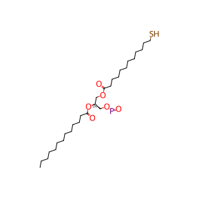 CCCCCCCCCCCCC(=O)O[C@H](COP=O)COC(=O)CCCCCCCCCCCS